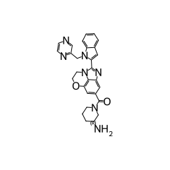 N[C@@H]1CCCN(C(=O)c2cc3c4c(c2)nc(-c2cc5ccccc5n2Cc2cnccn2)n4CCO3)C1